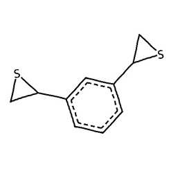 c1cc(C2CS2)cc(C2CS2)c1